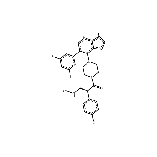 CC(C)NC[C@@H](C(=O)N1CCN(c2c(-c3cc(F)cc(F)c3)cnc3[nH]ccc23)CC1)c1ccc(Cl)cc1